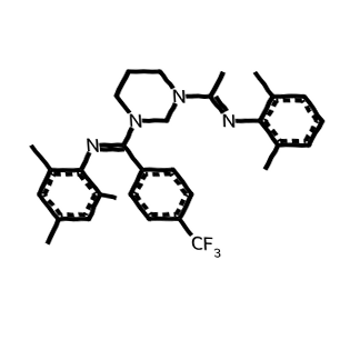 C/C(=N\c1c(C)cccc1C)N1CCCN(/C(=N/c2c(C)cc(C)cc2C)c2ccc(C(F)(F)F)cc2)C1